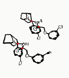 N#Cc1cccc(OCC(=O)NC2CC3CCC(C2)N3Cc2ccc(Cl)cc2)c1.O=C(COc1cccc(Cl)c1)NC1CC2CCC(C1)N2Cc1ccc(Cl)cc1